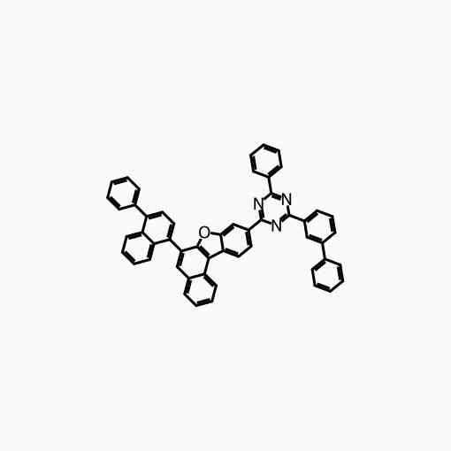 c1ccc(-c2cccc(-c3nc(-c4ccccc4)nc(-c4ccc5c(c4)oc4c(-c6ccc(-c7ccccc7)c7ccccc67)cc6ccccc6c45)n3)c2)cc1